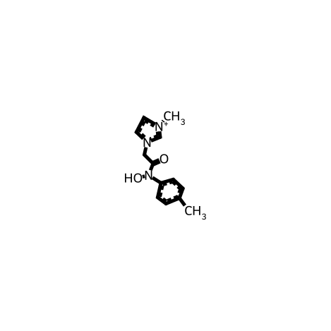 Cc1ccc(N(O)C(=O)Cn2cc[n+](C)c2)cc1